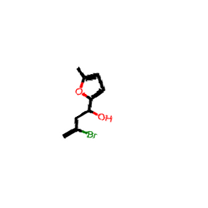 C=C(Br)CC(O)c1ccc(C)o1